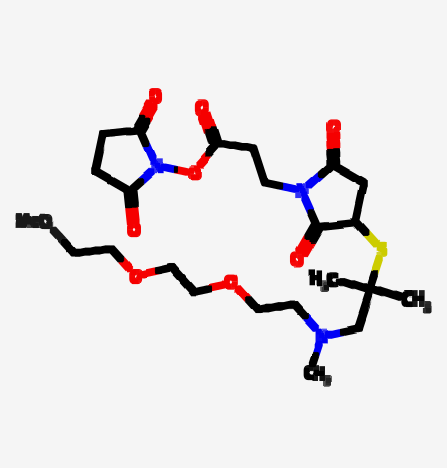 COCCOCCOCCN(C)CC(C)(C)SC1CC(=O)N(CCC(=O)ON2C(=O)CCC2=O)C1=O